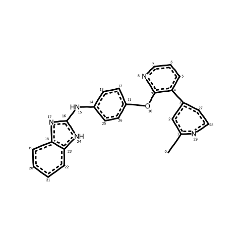 Cc1cc(-c2cccnc2Oc2ccc(Nc3nc4ccccc4[nH]3)cc2)ccn1